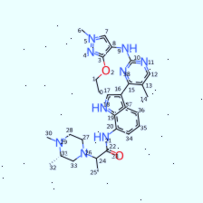 CCOc1nn(C)cc1Nc1ncc(C)c(-c2c[nH]c3c(NC(=O)C(C)N4CCN(C)[C@@H](C)C4)cccc23)n1